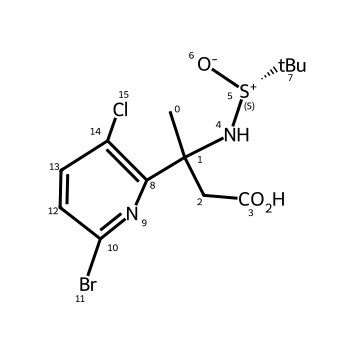 CC(CC(=O)O)(N[S@+]([O-])C(C)(C)C)c1nc(Br)ccc1Cl